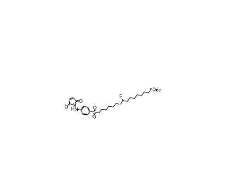 CCCCCCCCCCCCCCCCCC(F)CCCCCCCS(=O)(=O)c1ccc(NN2C(=O)C=CC2=O)cc1